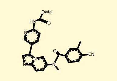 COC(=O)Nc1ccc(-c2cnc3ccc(N(C)C(=O)c4ccc(C#N)c(C)c4)cn23)cn1